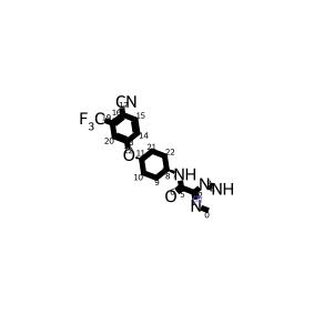 C/N=C(\N=N)C(=O)N[C@H]1CC[C@H](Oc2ccc(C#N)c(C(F)(F)F)c2)CC1